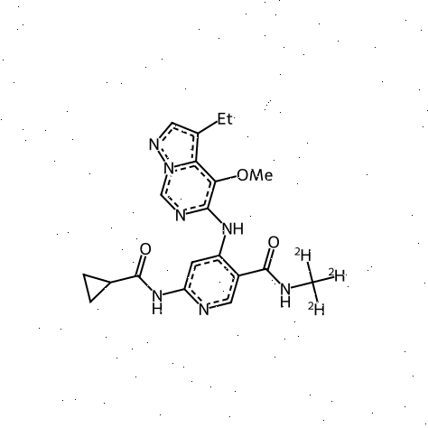 [2H]C([2H])([2H])NC(=O)c1cnc(NC(=O)C2CC2)cc1Nc1ncn2ncc(CC)c2c1OC